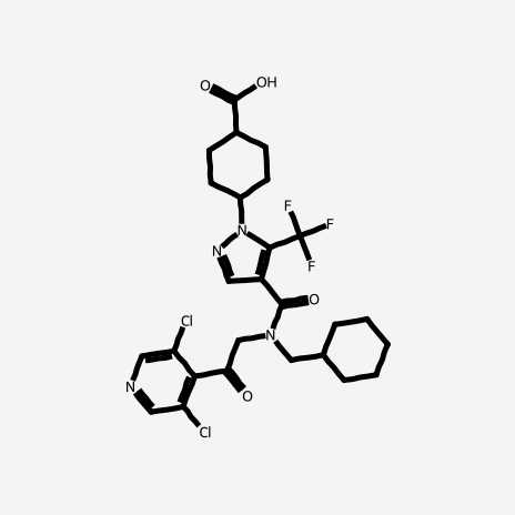 O=C(CN(CC1CCCCC1)C(=O)c1cnn(C2CCC(C(=O)O)CC2)c1C(F)(F)F)c1c(Cl)cncc1Cl